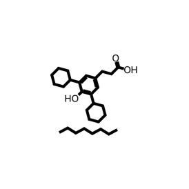 CCCCCCCC.O=C(O)CCc1cc(C2CCCCC2)c(O)c(C2CCCCC2)c1